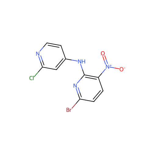 O=[N+]([O-])c1ccc(Br)nc1Nc1ccnc(Cl)c1